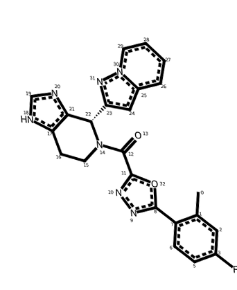 Cc1cc(F)ccc1-c1nnc(C(=O)N2CCc3[nH]cnc3[C@@H]2c2cc3ccccn3n2)o1